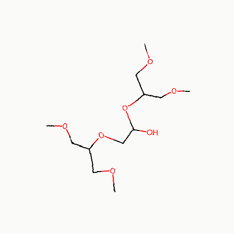 COCC(COC)OCC(O)OC(COC)COC